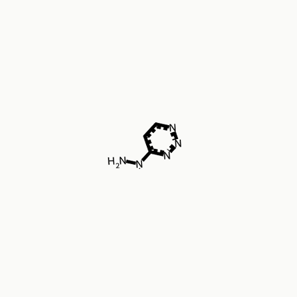 N[N]c1ccnnn1